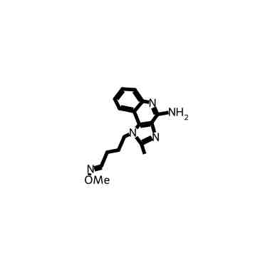 CON=CCCCn1c(C)nc2c(N)nc3ccccc3c21